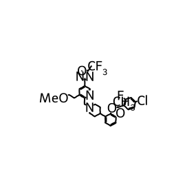 COCCc1cc(-c2noc(C(F)(F)F)n2)cnc1CN1CCC(c2cccc3c2OC(C)(c2ccc(Cl)cc2F)O3)CC1